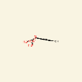 C#CC#CC#CC#CC#CC#CC#CC(=O)OCC(COCCO)OCCO